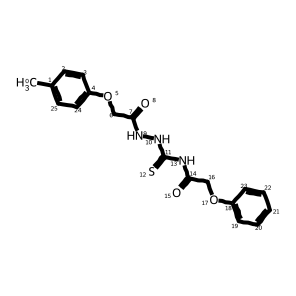 Cc1ccc(OCC(=O)NNC(=S)NC(=O)COc2ccccc2)cc1